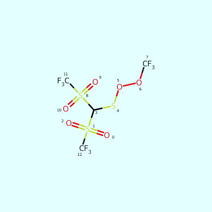 O=S(=O)(C(SOOC(F)(F)F)S(=O)(=O)C(F)(F)F)C(F)(F)F